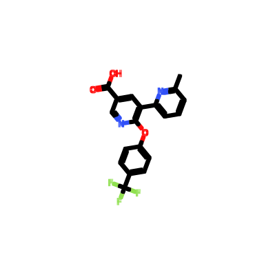 Cc1cccc(-c2cc(C(=O)O)cnc2Oc2ccc(C(F)(F)F)cc2)n1